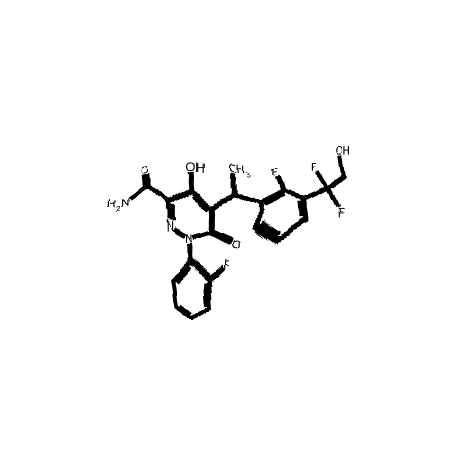 CC(c1cccc(C(F)(F)CO)c1F)c1c(O)c(C(N)=O)nn(-c2ccccc2F)c1=O